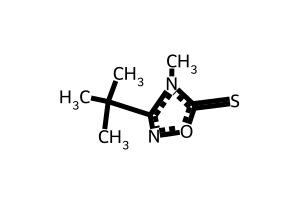 Cn1c(C(C)(C)C)noc1=S